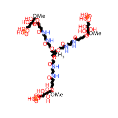 COC(OCCCCC(=O)NCCCNC(=O)CCOCC(C)(COCCC(=O)NCCCNC(=O)CCCCOC(OC)C(O)C(O)C(O)CCOP(=O)(O)O)COCCC(=O)NCCCNC(=O)CCCCOC(OC)C(O)C(O)C(O)CCOP(=O)(O)O)C(O)C(O)C(O)CCOP(=O)(O)O